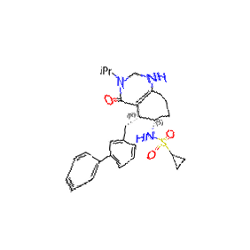 CC(C)N1CNC2=C(C1=O)[C@@H](Cc1cccc(-c3ccccc3)c1)[C@@H](NS(=O)(=O)C1CC1)CC2